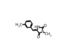 Cc1cccc(/C=C2\NC(=O)N(C)C2=O)c1